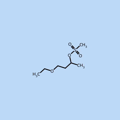 CCOCCC(C)OS(C)(=O)=O